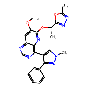 COc1cc2ncnc(-c3cn(C)nc3-c3ccccc3)c2nc1O[C@@H](C)c1nnc(C)o1